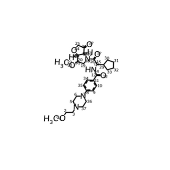 COCCN1CCN(c2ccc(C(=O)N[C@H](C(=O)N3C[C@@H](OC)[C@H]4OCC(=O)[C@H]43)C3CCCC3)cc2)CC1